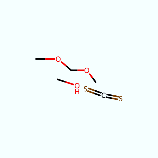 CO.COCOC.S=C=S